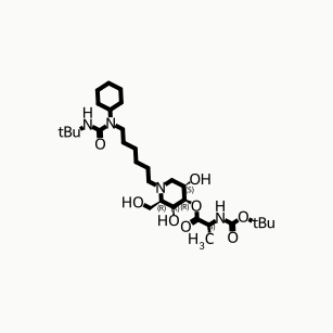 C[C@H](NC(=O)OC(C)(C)C)C(=O)O[C@H]1[C@H](O)[C@@H](CO)N(CCCCCCN(C(=O)NC(C)(C)C)C2CCCCC2)C[C@@H]1O